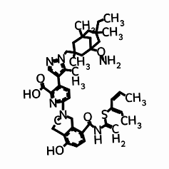 C=C(NC(=O)c1ccc(O)c2c1CN(c1ccc(-c3cnn(CC4(C)CC5(C)CC(C)(CC)CC(ON)(C4)C5)c3C)c(C(=O)O)n1)CC2)SC(/C=C\C)=C\C